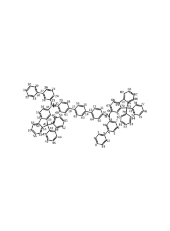 c1ccc(-c2cccc(N(c3ccc(-c4ccc(-c5ccc(N(c6cccc(-c7ccccc7)c6)c6ccc7c(c6)C(c6ccccc6)(c6ccccc6)c6ccccc6-7)cc5)cc4)cc3)c3ccc4c(c3)C(c3ccccc3)(c3ccccc3)c3ccccc3-4)c2)cc1